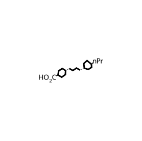 CCC[C@H]1CC[C@H](CCCC[C@H]2CC[C@H](C(=O)O)CC2)CC1